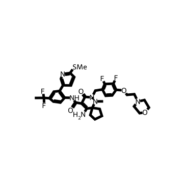 CSc1ccc(-c2cc(C(C)(F)F)ccc2NC(=O)C2=C(N)C3(CCCC3)N(C)N(Cc3ccc(OCCN4CCOCC4)c(F)c3F)C2=O)cn1